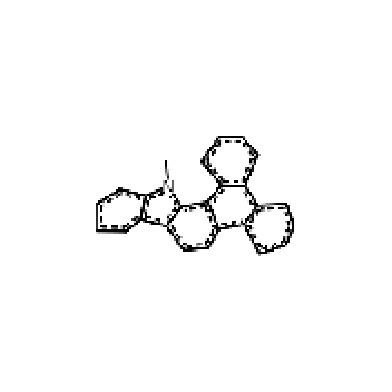 Cn1c2ccccc2c2ccc3c4ccccc4c4ccccc4c3c21